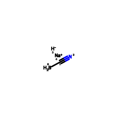 BC#N.[H-].[Na+]